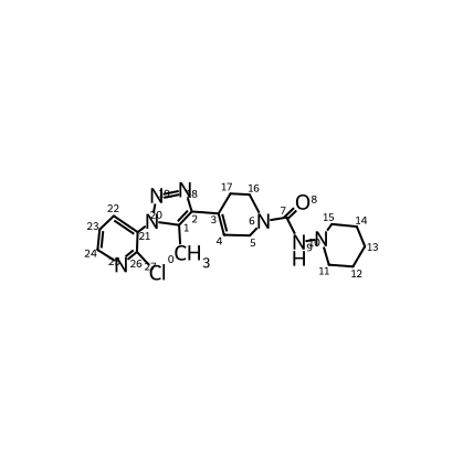 Cc1c(C2=CCN(C(=O)NN3CCCCC3)CC2)nnn1-c1cccnc1Cl